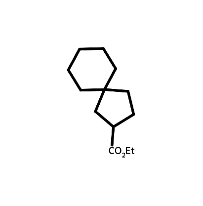 CCOC(=O)C1CCC2(CCCCC2)C1